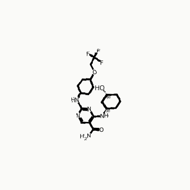 NC(=O)c1cnc(NC2CCC(OCC(F)(F)F)CC2)nc1N[C@@H]1CCC[C@@H](O)C1